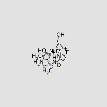 C=C/C(NC(=O)c1ccc(F)c(-c2c(F)cc(CCO)cc2F)n1)=C(\C=C/N)[C@H]1C[C@@H](N)[C@H](O)[C@@H](C)C1